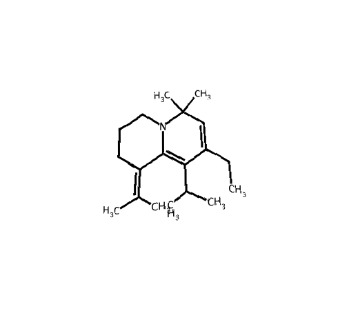 CCC1=CC(C)(C)N2CCCC(=C(C)C)C2=C1C(C)C